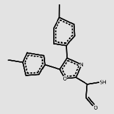 Cc1ccc(-c2nc(C(S)C=O)oc2-c2ccc(C)cc2)cc1